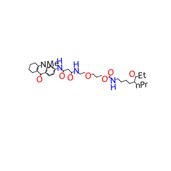 CCCC(CCCCNC(=O)OCCCOCCNC(=O)CC(=O)Nc1ccc(C(=O)C2=C(NC)CCCC2)cc1)C(=O)CC